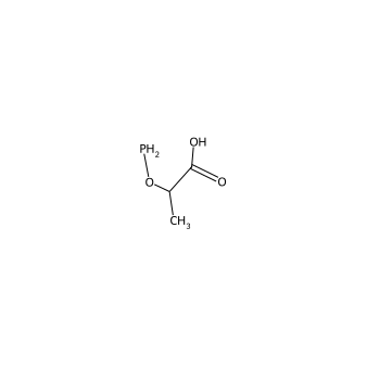 CC(OP)C(=O)O